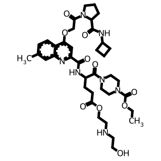 CCOC(=O)N1CCN(C(=O)C(CCC(=O)OCCNCCO)NC(=O)c2cc(OCC(=O)N3CCCC3C(=O)NC3CCC3)c3ccc(C)cc3n2)CC1